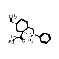 C=C[C@@H]1CC[C@@H](CN(C)c2ccccc2)[C@@](C)(C(=O)NC(C)(C)C)C1